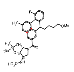 COCCCCC(c1cccc(C(=O)N2C[C@@H](NC(=O)O)[C@H](O[Si](C)(C)C(C)(C)C)C2)c1)c1cccc(F)c1-c1cccc(C)c1